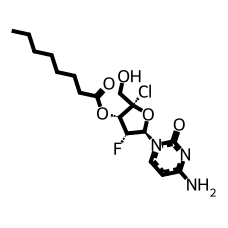 CCCCCCCC(=O)O[C@H]1[C@@H](F)[C@H](n2ccc(N)nc2=O)O[C@]1(Cl)CO